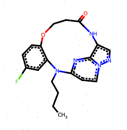 CCCCN1c2ccn3ncc(c3n2)NC(=O)CCOc2ccc(F)cc21